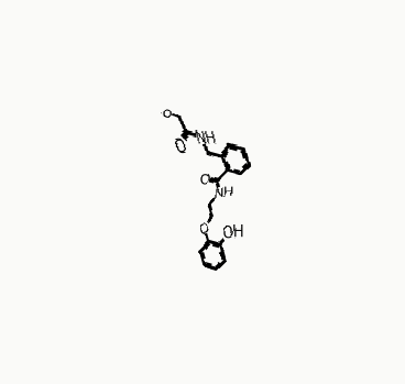 [O]CC(=O)NCc1ccccc1C(=O)NCCOc1ccccc1O